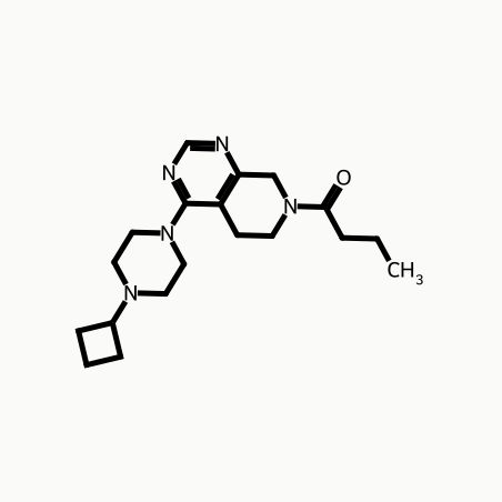 CCCC(=O)N1CCc2c(ncnc2N2CCN(C3CCC3)CC2)C1